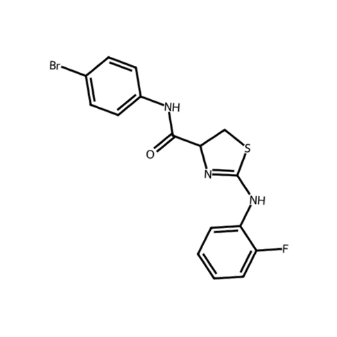 O=C(Nc1ccc(Br)cc1)C1CSC(Nc2ccccc2F)=N1